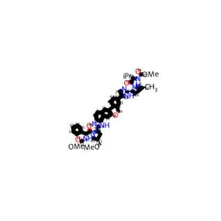 COC[C@H]1C[C@@H](c2nc3ccc4cc5c(cc4c3[nH]2)OCc2cc(-c3cnc([C@@H]4CC6C([C@@H]6C)N4C(=O)C(NC(=O)OC)C(C)C)[nH]3)ccc2-5)N(C(=O)[C@H](NC(=O)OC)c2ccccc2)C1